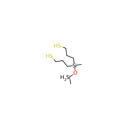 C[SiH2]O[Si](C)(CCCS)CCCS